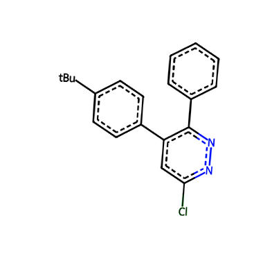 CC(C)(C)c1ccc(-c2cc(Cl)nnc2-c2ccccc2)cc1